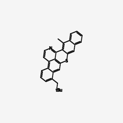 Cc1c2c(cc3ccccc13)Sc1cc3c(CC(C)(C)C)cccc3c3ccnc-2c13